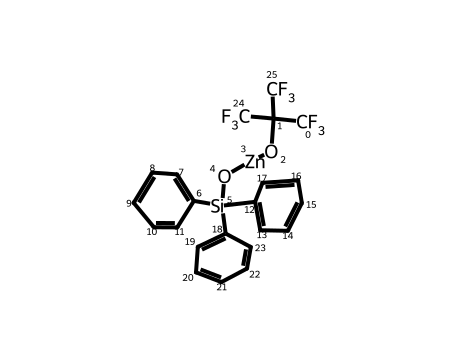 FC(F)(F)C([O][Zn][O][Si](c1ccccc1)(c1ccccc1)c1ccccc1)(C(F)(F)F)C(F)(F)F